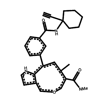 C#CC1(NC(=O)c2cccc(-c3cc(C)c(C(=O)NC)cocc4cc[nH]c34)c2)CCCCC1